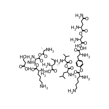 CC(C)C[C@H](N)C(=O)OC(=O)[C@@H](N)C(C)C.CC[C@H](C)[C@H](N)C(=O)O.C[C@H](N)C(=O)OC(=O)[C@@H](N)[C@@H](C)OC(=O)[C@@H](N)CCCCN.NC(=O)CC[C@H](N)C(=O)OC[C@H](N)C(=O)O.NCCCC[C@H](N)C(=O)Oc1ccc(C[C@H](N)C(=O)O)cc1.N[C@@H](CO)C(=O)O